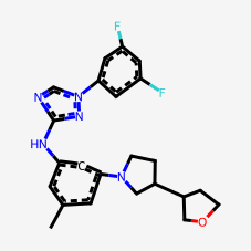 Cc1cc(Nc2ncn(-c3cc(F)cc(F)c3)n2)cc(N2CCC(C3CCOC3)C2)c1